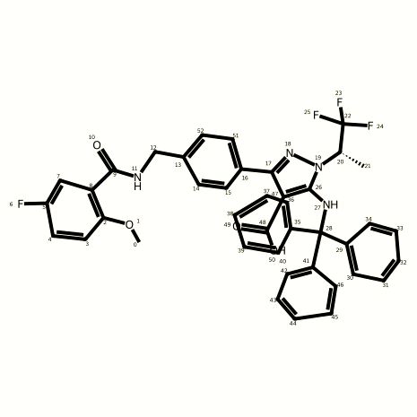 COc1ccc(F)cc1C(=O)NCc1ccc(-c2nn([C@@H](C)C(F)(F)F)c(NC(c3ccccc3)(c3ccccc3)c3ccccc3)c2C(=O)O)cc1